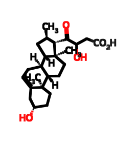 C[C@@H]1C[C@H]2[C@@H]3CC=C4C[C@@H](O)CC[C@]4(C)[C@H]3CC[C@]2(C)[C@H]1C(=O)C(O)CC(=O)O